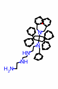 NCCNCCNCCN(Cc1ccccc1)C(Cc1ccccc1)(Cc1ccccc1)C(Cc1ccccc1)(Cc1ccccc1)N(Cc1ccccc1)Cc1ccccc1